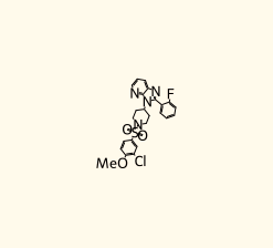 COc1ccc(S(=O)(=O)N2CCC(n3c(-c4ccccc4F)nc4cccnc43)CC2)cc1Cl